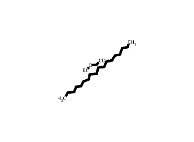 CCCCCCCCCCCCCCCCCC.CCOCC(=O)O